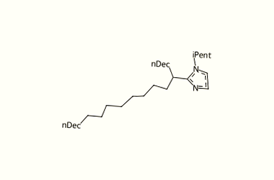 CCCCCCCCCCCCCCCCCCC(CCCCCCCCCC)c1nccn1C(C)CCC